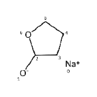 [Na+].[O-]C1CCCO1